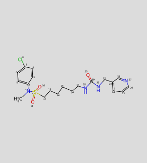 CN(c1ccc(Cl)cc1)S(=O)(=O)CCCCCCNC(=O)NCc1cccnc1